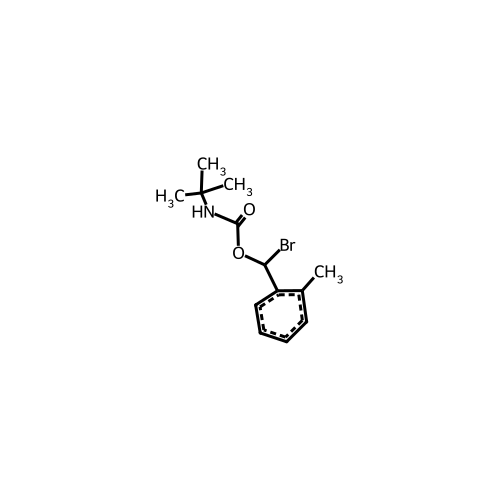 Cc1ccccc1C(Br)OC(=O)NC(C)(C)C